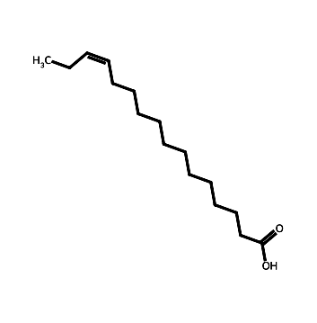 CC/C=C\CCCCCCCCCCCC(=O)O